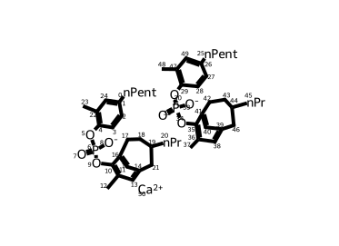 CCCCCc1ccc(OP(=O)([O-])Oc2c(C)cc3cc2CCC(CCC)C3)c(C)c1.CCCCCc1ccc(OP(=O)([O-])Oc2c(C)cc3cc2CCC(CCC)C3)c(C)c1.[Ca+2]